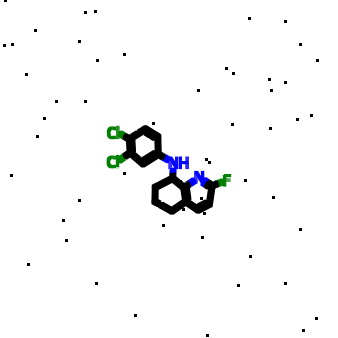 Fc1ccc2c(n1)C(Nc1ccc(Cl)c(Cl)c1)CCC2